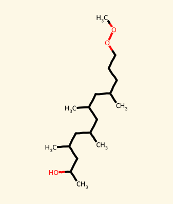 COOCCCC(C)CC(C)CC(C)CC(C)CC(C)O